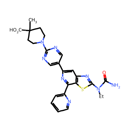 CCN(C(N)=O)c1nc2cc(-c3cnc(N4CCC(C)(C(=O)O)CC4)nc3)nc(-c3ccccn3)c2s1